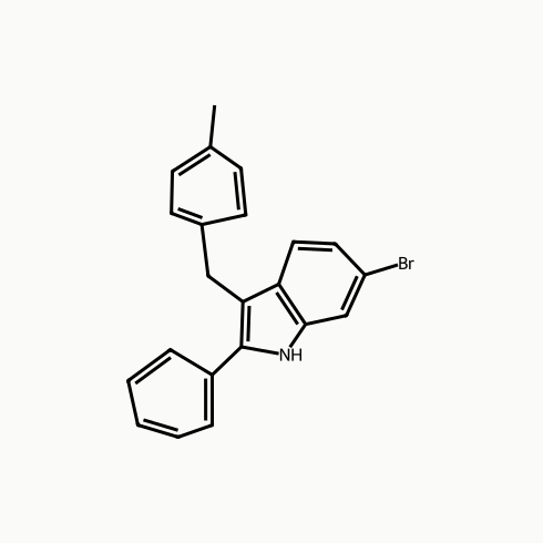 Cc1ccc(Cc2c(-c3ccccc3)[nH]c3cc(Br)ccc23)cc1